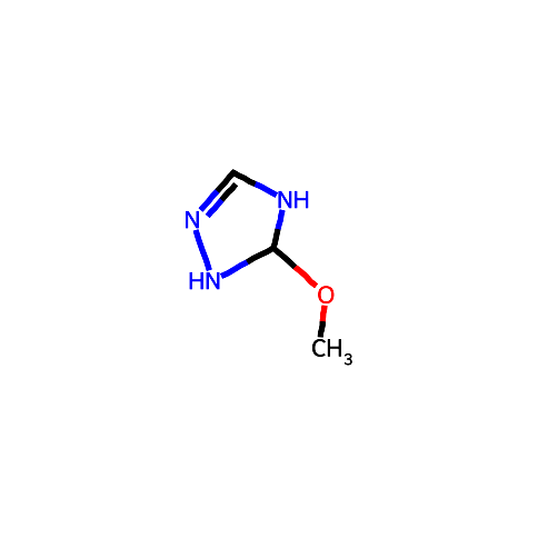 COC1NC=NN1